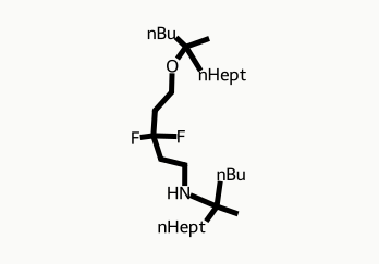 CCCCCCCC(C)(CCCC)NCCC(F)(F)CCOC(C)(CCCC)CCCCCCC